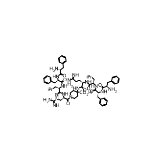 CC(C)C[C@@H](NC(=O)[C@@H](Cc1ccccc1)NC(=O)[C@H](N)Cc1ccccc1)C(=O)N[C@H](CCC(=N)N)C(=O)NC1(C(=O)O)CCN(C(=O)[C@@H](CNC(=N)N)NC(=O)[C@@H](CC(C)C)NC(=O)[C@@H](Cc2ccccc2)NC(=O)[C@H](N)Cc2ccccc2)CC1